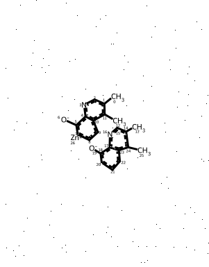 Cc1cnc2c([O-])cccc2c1C.Cc1cnc2c([O-])cccc2c1C.[Zn+2]